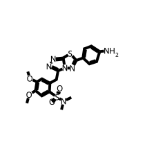 COc1cc(Cc2nnc3sc(-c4ccc(N)cc4)nn23)c(S(=O)(=O)N(C)C)cc1OC